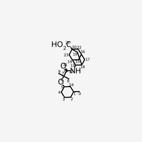 CC1CCCC(OC(C)(C)C(=O)NC2C3CC4CC2CC(C(=O)O)(C4)C3)C1